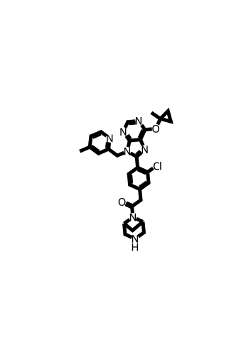 Cc1ccnc(Cn2c(-c3ccc(CC(=O)N4C5CNCC4C5)cc3Cl)nc3c(OC4(C)CC4)ncnc32)c1